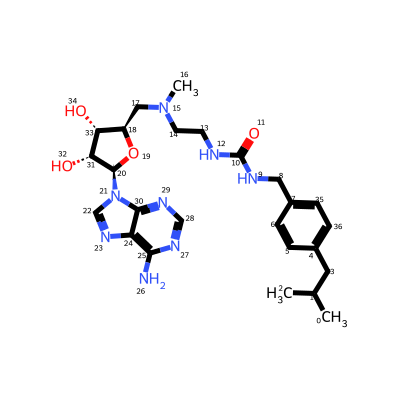 CC(C)Cc1ccc(CNC(=O)NCCN(C)C[C@H]2O[C@@H](n3cnc4c(N)ncnc43)[C@H](O)[C@@H]2O)cc1